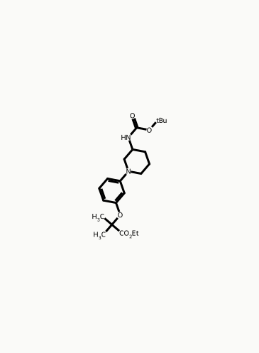 CCOC(=O)C(C)(C)Oc1cccc(N2CCCC(NC(=O)OC(C)(C)C)C2)c1